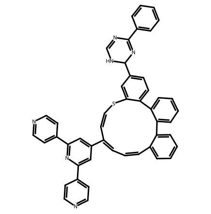 C1=NC(c2ccccc2)=NC(c2ccc3c(c2)sccc(-c2cc(-c4ccncc4)nc(-c4ccncc4)c2)cccc2ccccc2c2ccccc32)N1